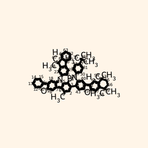 Cc1cc2c3c4c1c1cc5oc6ccccc6c5cc1n4-c1cc4c(cc1B3N(c1ccc(C(C)(C)C)cc1)c1cc3c(cc1-2)oc1cc2c(cc13)C(C)(C)CCC2(C)C)-c1ccccc1C4(C)C